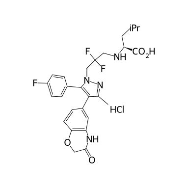 Cc1nn(CC(F)(F)CN[C@@H](CC(C)C)C(=O)O)c(-c2ccc(F)cc2)c1-c1ccc2c(c1)NC(=O)CO2.Cl